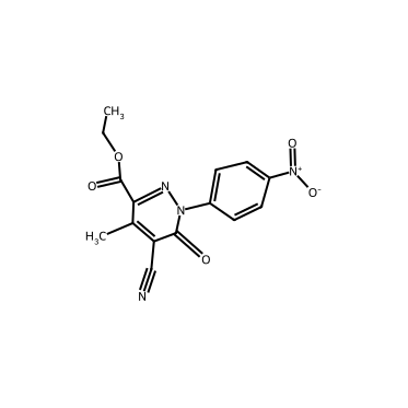 CCOC(=O)c1nn(-c2ccc([N+](=O)[O-])cc2)c(=O)c(C#N)c1C